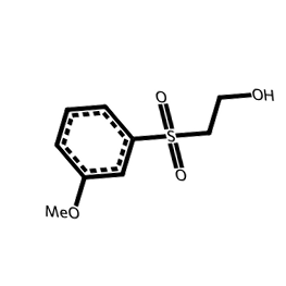 COc1cccc(S(=O)(=O)CCO)c1